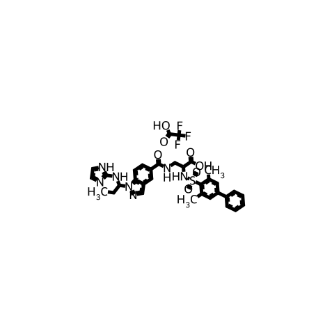 CCC(Nc1ncc[nH]1)n1ncc2cc(C(=O)NCC(NS(=O)(=O)c3c(C)cc(-c4ccccc4)cc3C)C(=O)O)ccc21.O=C(O)C(F)(F)F